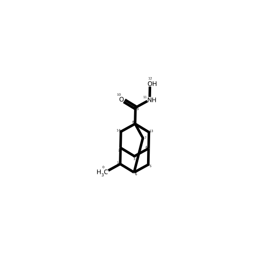 CC1C2CC3CC1CC(C(=O)NO)(C3)C2